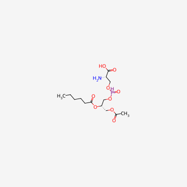 CCCCCC(=O)O[C@@H](COC(C)=O)CO[PH](=O)OC[C@H](N)C(=O)O